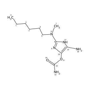 CCCCCCN(C)c1nc(OC(N)=O)c(N)[nH]1